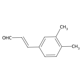 Cc1ccc(C=CC=O)cc1C